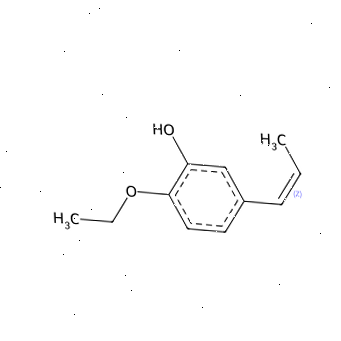 C/C=C\c1ccc(OCC)c(O)c1